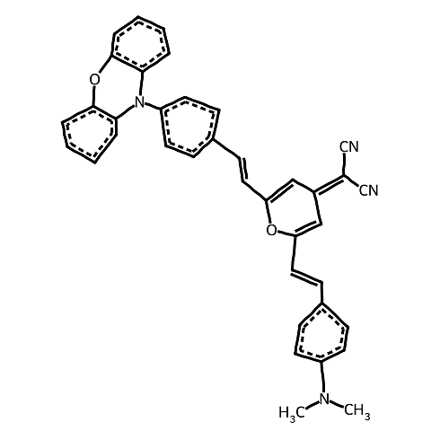 CN(C)c1ccc(/C=C/C2=CC(=C(C#N)C#N)C=C(/C=C/c3ccc(N4c5ccccc5Oc5ccccc54)cc3)O2)cc1